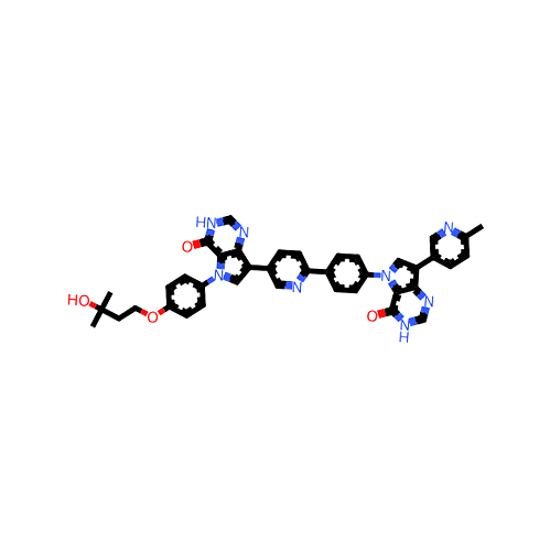 Cc1ccc(-c2cn(-c3ccc(-c4ccc(-c5cn(-c6ccc(OCCC(C)(C)O)cc6)c6c(=O)[nH]cnc56)cn4)cc3)c3c(=O)[nH]cnc23)cn1